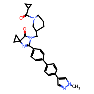 Cn1cc(-c2ccc(-c3ccc(C4=NC5(CC5)C(=O)N4CC4CCCN(C(=O)C5CC5)C4)cc3)cc2)cn1